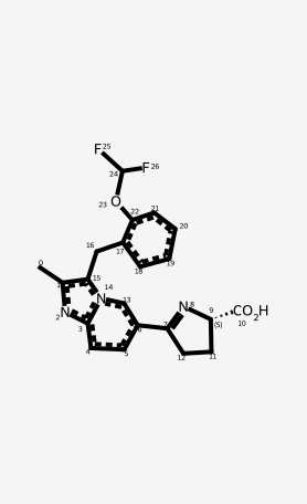 Cc1nc2ccc(C3=N[C@H](C(=O)O)CC3)cn2c1Cc1ccccc1OC(F)F